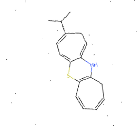 CC(C)C1=CC=C2SC3=C(CC=CC=C3)NC2=CC1